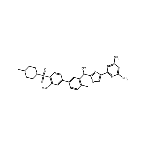 CCCN(c1nc(-c2nc(N)cc(N)n2)cs1)c1cc(-c2ccc(S(=O)(=O)N3CCN(C)CC3)c(OC)c2)ccc1C